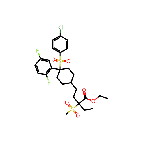 CCOC(=O)C(CC)(CCC1CCC(c2cc(F)ccc2F)(S(=O)(=O)c2ccc(Cl)cc2)CC1)S(C)(=O)=O